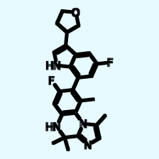 Cc1c(-c2cc(F)cc3c(C4CCOC4)c[nH]c23)c(F)cc2c1-n1c(C)cnc1C(C)(C)N2